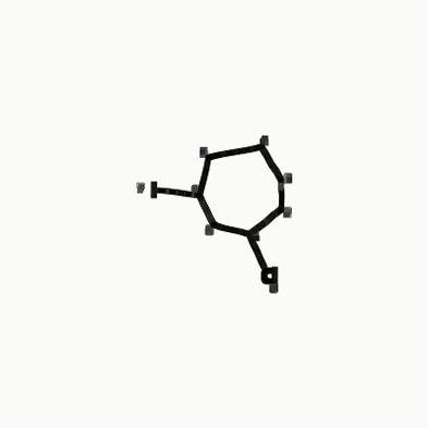 ClC1CCCCC(I)C1